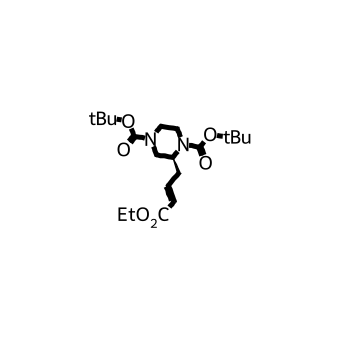 CCOC(=O)/C=C/C[C@H]1CN(C(=O)OC(C)(C)C)CCN1C(=O)OC(C)(C)C